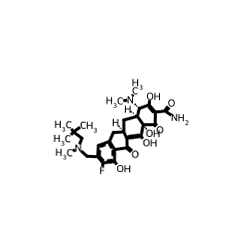 CN(Cc1cc2c(c(O)c1F)C(=O)C1=C(O)[C@]3(O)C(=O)C(C(N)=O)=C(O)[C@@H](N(C)C)[C@@H]3C[C@@H]1C2)CC(C)(C)C